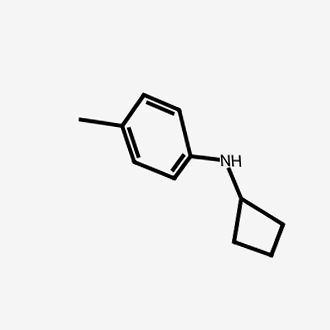 Cc1ccc(NC2CCC2)cc1